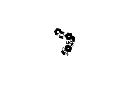 CN1CCOc2cc(S(=O)(=O)n3ccc4ccc(N5CCN6CCCCC6C5)cc43)ccc21